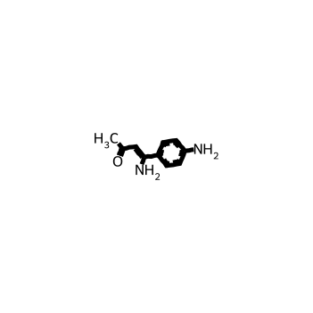 CC(=O)C=C(N)c1ccc(N)cc1